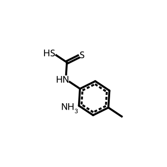 Cc1ccc(NC(=S)S)cc1.N